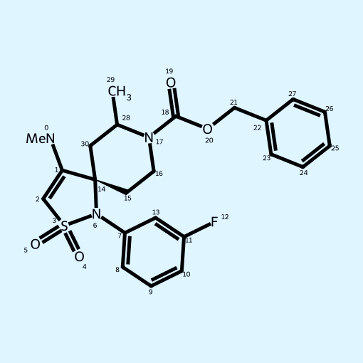 CNC1=CS(=O)(=O)N(c2cccc(F)c2)[C@]12CCN(C(=O)OCc1ccccc1)C(C)C2